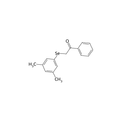 Cc1cc(C)cc([Se]CC(=O)c2ccccc2)c1